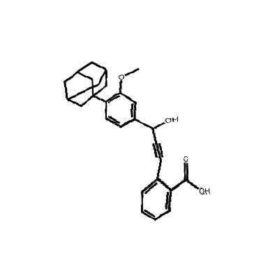 COc1cc(C(O)C#Cc2ccccc2C(=O)O)ccc1C12CC3CC(CC(C3)C1)C2